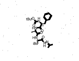 CC[C@H](C)[C@H](NC(=O)[C@@H](C)NC(=O)[C@H](Cc1ccccc1)NC(=O)OC(C)(C)C)C(=O)NN=C(C)C